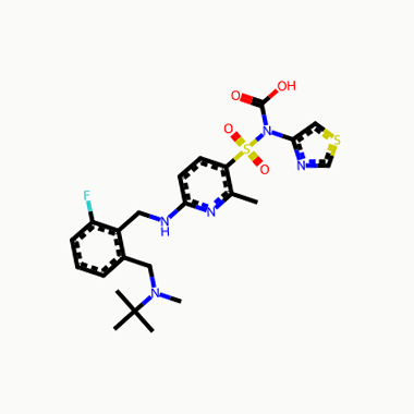 Cc1nc(NCc2c(F)cccc2CN(C)C(C)(C)C)ccc1S(=O)(=O)N(C(=O)O)c1cscn1